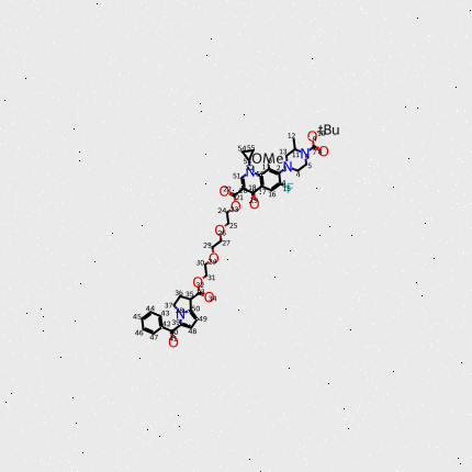 COc1c(N2CCN(C(=O)OC(C)(C)C)C(C)C2)c(F)cc2c(=O)c(C(=O)OCCOCCOCCOC(=O)C3CCn4c(C(=O)c5ccccc5)ccc43)cn(C3CC3)c12